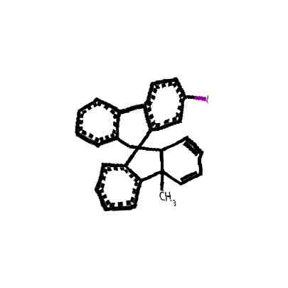 CC12C=CC=CC1C1(c3ccccc3-c3ccc(I)cc31)c1ccccc12